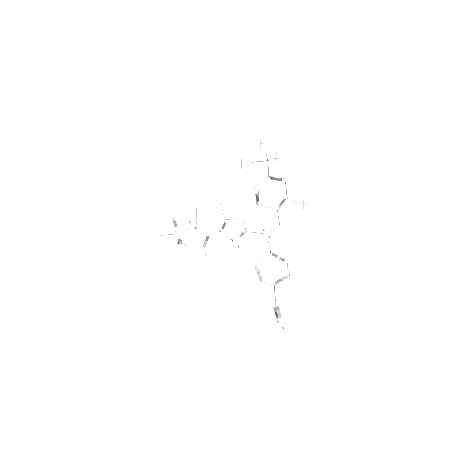 Cc1sc(N(Cc2ccc(C(F)(F)F)cc2F)c2ccc(C#N)cc2)nc1C(=O)NS(C)(=O)=O